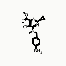 COC(=O)c1nc(C2CC2)nc(N(C)Cc2ccc(N)cc2)c1Cl